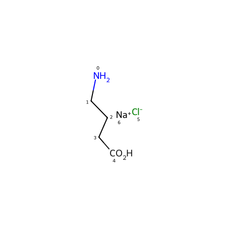 NCCCC(=O)O.[Cl-].[Na+]